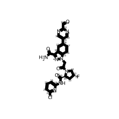 NC(=O)c1nn(CC(=O)N2C[C@H](F)C[C@H]2C(=O)Nc2cccc(Cl)n2)c2ccc(-c3cnc(C=O)nc3)cc12